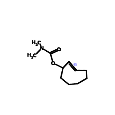 CN(C)C(=O)OC1/C=C/CCCCC1